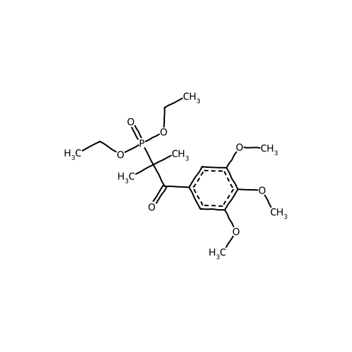 CCOP(=O)(OCC)C(C)(C)C(=O)c1cc(OC)c(OC)c(OC)c1